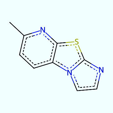 Cc1ccc2c(n1)sc1nccn12